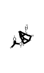 CC(=O)OC1C2CC3C1[C@H]3C2